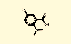 CN(C)c1ncc(Br)cc1C(=O)O